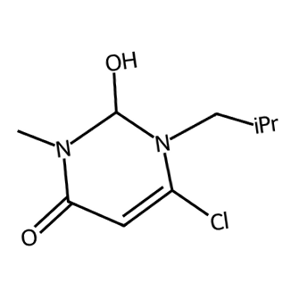 CC(C)CN1C(Cl)=CC(=O)N(C)C1O